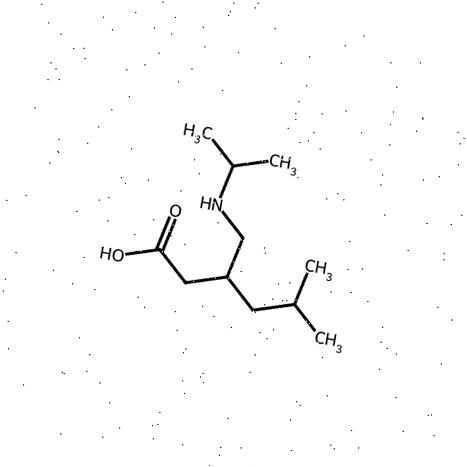 CC(C)CC(CNC(C)C)CC(=O)O